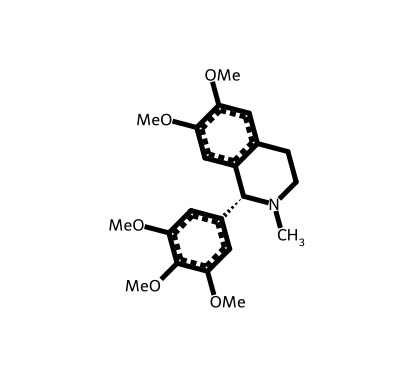 COc1cc2c(cc1OC)[C@@H](c1cc(OC)c(OC)c(OC)c1)N(C)CC2